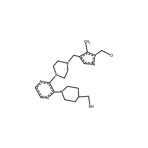 Cc1c(CN2CCN(c3nccnc3N3CCC(CO)CC3)CC2)cnn1CCl